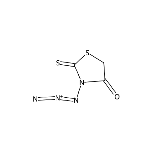 [N-]=[N+]=NN1C(=O)CSC1=S